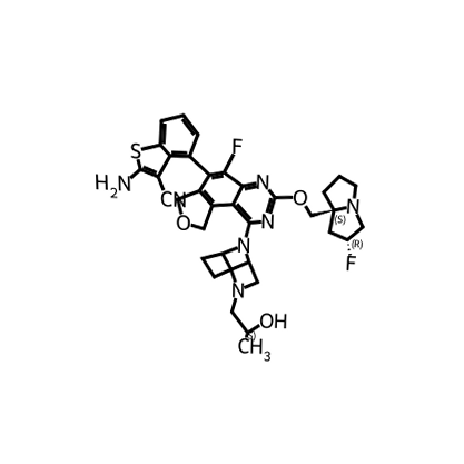 C[C@H](O)CN1CC2N(c3nc(OC[C@@]45CCCN4C[C@H](F)C5)nc4c(F)c(-c5cccc6sc(N)c(C#N)c56)c5c(c34)COC5)C3CCC321